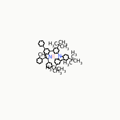 Cc1ccccc1-c1c(-c2ccccc2)n2c3c(cc(-c4ccccc4)cc13)-c1cc(C(C)(C)C)cc3c1B2c1cc(C(C)(C)C)cc2c4cc(C(C)(C)C)ccc4n-3c12